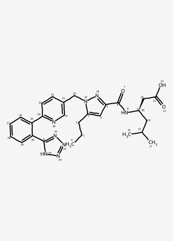 CCCc1cc(C(=O)N[C@@H](CC(=O)O)CC(C)C)nn1Cc1ccc(-c2ccccc2-c2nnn[nH]2)nc1